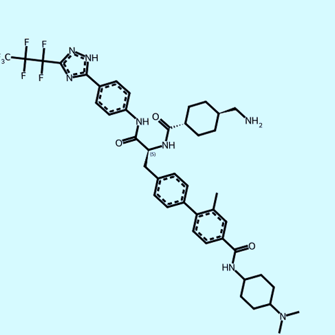 Cc1cc(C(=O)NC2CCC(N(C)C)CC2)ccc1-c1ccc(C[C@H](NC(=O)[C@H]2CC[C@H](CN)CC2)C(=O)Nc2ccc(-c3nc(C(F)(F)C(F)(F)C(F)(F)F)n[nH]3)cc2)cc1